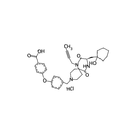 CC#CCN1C(=O)[C@@H](CC2(O)CCCCC2)NC(=O)C12CCN(Cc1ccc(Oc3ccc(C(=O)O)cc3)cc1)CC2.Cl